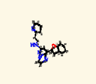 c1ccc(CCNc2cc(-c3cc4ccccc4o3)c3nccn3n2)nc1